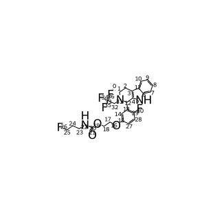 C[C@@H]1Cc2c([nH]c3ccccc23)[C@@H](c2cc(OCCOC(=O)NCCCF)ccc2F)N1CC(F)(F)F